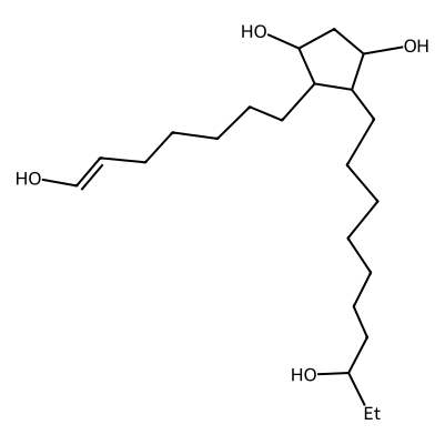 CCC(O)CCCCCCCC1C(O)CC(O)C1CCCCCC=CO